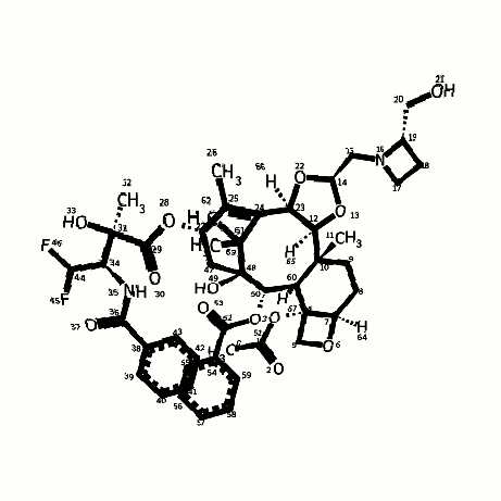 CC(=O)O[C@@]12CO[C@@H]1CC[C@@]1(C)[C@@H]3O[C@H](CN4CC[C@H]4CO)O[C@@H]3C3=C(C)[C@@H](OC(=O)[C@](C)(O)[C@@H](NC(=O)c4ccccc4)C(F)F)C[C@@](O)([C@@H](OC(=O)c4ccccc4)[C@@H]12)C3(C)C